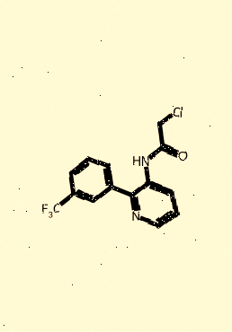 O=C(CCl)Nc1cccnc1-c1cccc(C(F)(F)F)c1